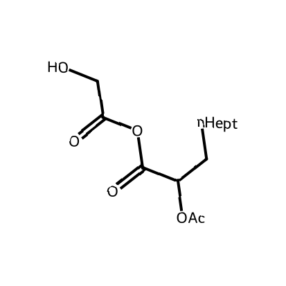 CCCCCCCCC(OC(C)=O)C(=O)OC(=O)CO